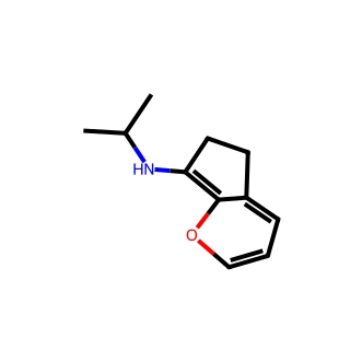 CC(C)NC1=C2OC=CC=C2CC1